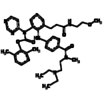 CCN(CC)CCN(C)C(=O)c1ccc(Nc2c(CCC(=O)NCCOC)cccc2N(C(=O)Oc2c(C)cccc2C)c2ccncn2)cc1